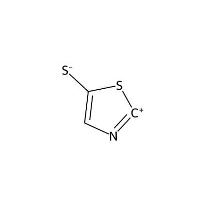 [S-]C1=CN=[C+]S1